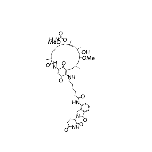 COC1C=CC=C(C)C(=O)NC2=CC(=O)C(NCCCCCC(=O)Nc3cccc4c3CN(C3CCC(=O)NC3=O)C4=O)=C(CC(C)CC(OC)C(O)C(C)C=C(C)C1OC(N)=O)C2=O